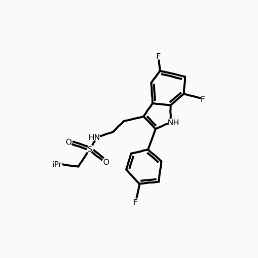 CC(C)CS(=O)(=O)NCCc1c(-c2ccc(F)cc2)[nH]c2c(F)cc(F)cc12